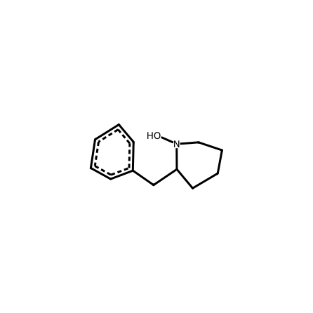 ON1CCCCC1Cc1ccccc1